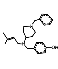 COc1ccc(CN(CC=C(C)C)C2CCN(Cc3ccccc3)CC2)cc1